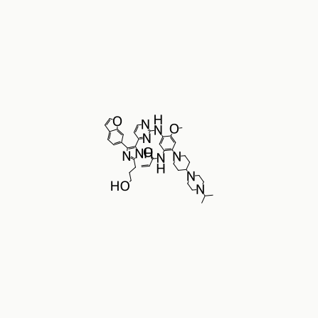 C=CC(=O)Nc1cc(Nc2nccc(-c3[nH]c(CCCO)nc3-c3ccc4ccoc4c3)n2)c(OC)cc1N1CCC(N2CCN(C(C)C)CC2)CC1